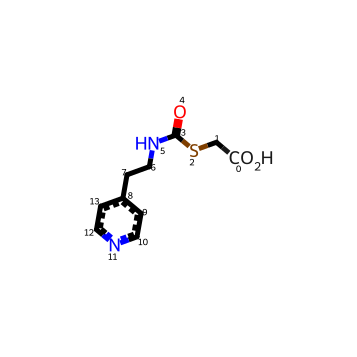 O=C(O)CSC(=O)NCCc1ccncc1